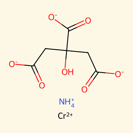 O=C([O-])CC(O)(CC(=O)[O-])C(=O)[O-].[Cr+2].[NH4+]